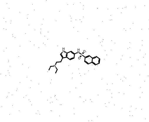 CCN(CC)CCc1c[nH]c2cc(NS(=O)(=O)c3ccc4ccccc4c3)ccc12